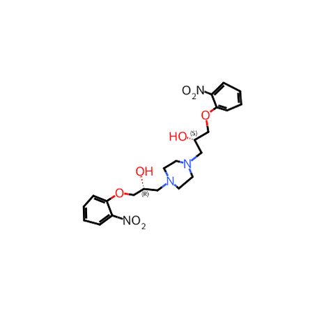 O=[N+]([O-])c1ccccc1OC[C@@H](O)CN1CCN(C[C@@H](O)COc2ccccc2[N+](=O)[O-])CC1